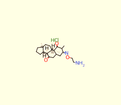 CC1C(=O)[C@@]2(C)C(CC(=O)[C@H]3[C@@H]4CCC[C@@]4(C)CC[C@@H]32)CC1=NOCCN.Cl